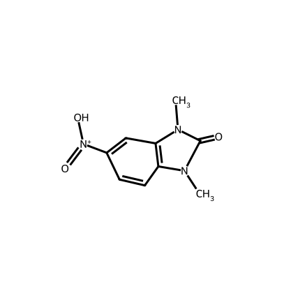 Cn1c(=O)n(C)c2cc([N+](=O)O)ccc21